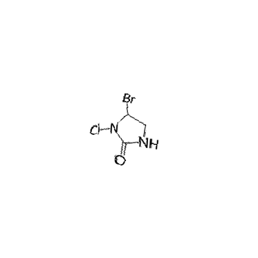 O=C1NCC(Br)N1Cl